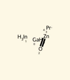 [GaH3].[InH3].[O]=[Zn].[Pr]